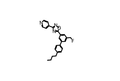 CCCCc1ccc(-c2cc(CF)cc(-c3nc(-c4ccncc4)no3)c2)cc1